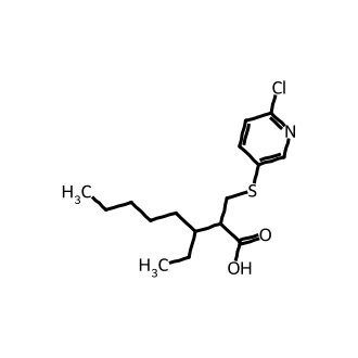 CCCCCC(CC)C(CSc1ccc(Cl)nc1)C(=O)O